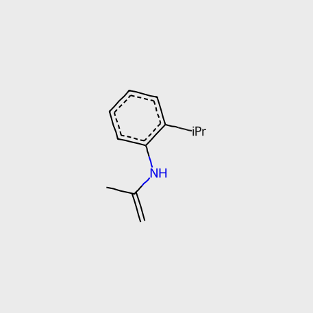 C=C(C)Nc1ccccc1C(C)C